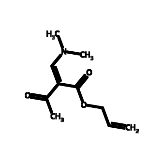 C=CCOC(=O)/C(=C\N(C)C)C(C)=O